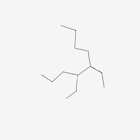 CCCCC(CC)C(CC)CCC